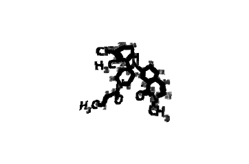 C/C=C/C(=O)N1CCC(Nc2ccc3ccn(C)c(=O)c3c2)(c2cccc(Cl)c2C)CC1